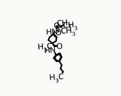 CCCCc1ccc(NC(=O)C2(C)CC=C(NS(=O)(=O)C(C)(C)C)CC2)cc1